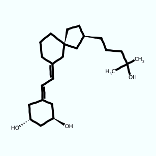 CC(C)(O)CCC[C@@H]1CC[C@@]2(CCCC(=CC=C3C[C@@H](O)C[C@H](O)C3)C2)C1